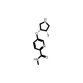 CNC(=O)c1ccc(O[C@@H]2CNC[C@@H]2F)cn1